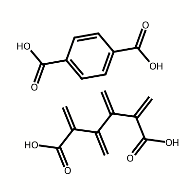 C=C(C(=C)C(=C)C(=O)O)C(=C)C(=O)O.O=C(O)c1ccc(C(=O)O)cc1